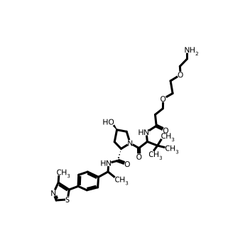 Cc1ncsc1-c1ccc(C(C)NC(=O)[C@@H]2C[C@@H](O)CN2C(=O)C(NC(=O)CCOCCOCCN)C(C)(C)C)cc1